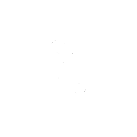 O=CC(Cn1ccnc1)c1ccc2ccccc2c1